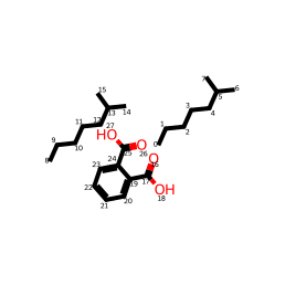 CCCCCC(C)C.CCCCCC(C)C.O=C(O)c1ccccc1C(=O)O